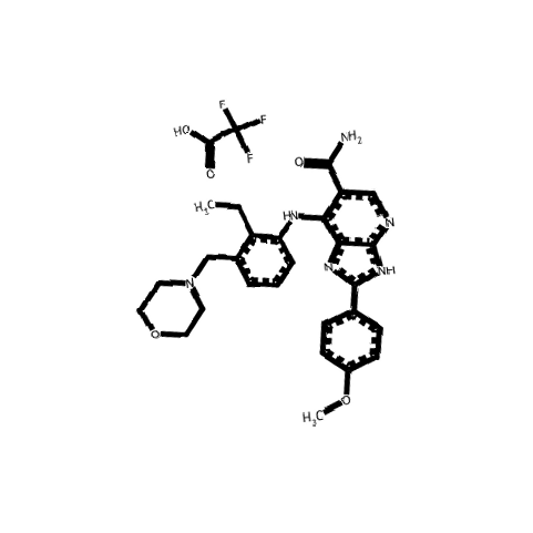 CCc1c(CN2CCOCC2)cccc1Nc1c(C(N)=O)cnc2[nH]c(-c3ccc(OC)cc3)nc12.O=C(O)C(F)(F)F